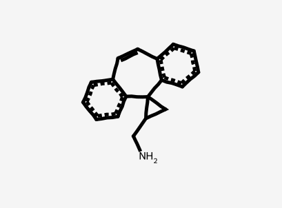 NCC1CC12c1ccccc1C=Cc1ccccc12